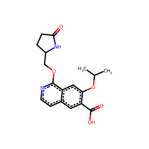 CC(C)Oc1cc2c(OCC3CCC(=O)N3)nccc2cc1C(=O)O